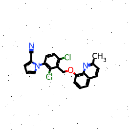 Cc1ccc2cccc(OCc3c(Cl)ccc(-n4cccc4C#N)c3Cl)c2n1